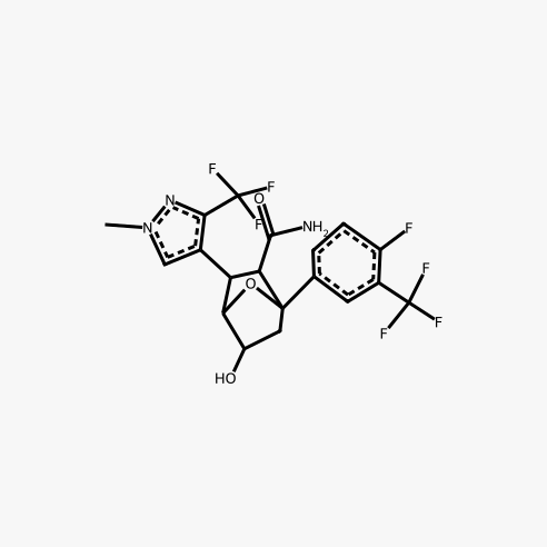 Cn1cc(C2C3OC(c4ccc(F)c(C(F)(F)F)c4)(CC3O)C2C(N)=O)c(C(F)(F)F)n1